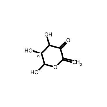 C=C1OC(O)[C@@H](O)C(O)C1=O